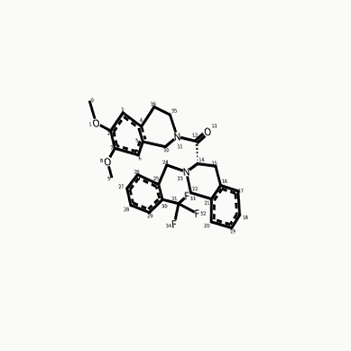 COc1cc2c(cc1OC)CN(C(=O)[C@@H]1Cc3ccccc3CN1Cc1ccccc1C(F)(F)F)CC2